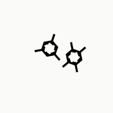 Cc1cc(C)c(C)cc1C.Cc1cc(C)cc(C)c1